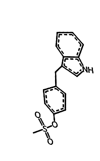 CS(=O)(=O)Oc1ccc(Cc2c[nH]c3ccccc23)cc1